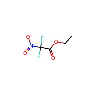 CCOC(=O)C(F)(F)[N+](=O)[O-]